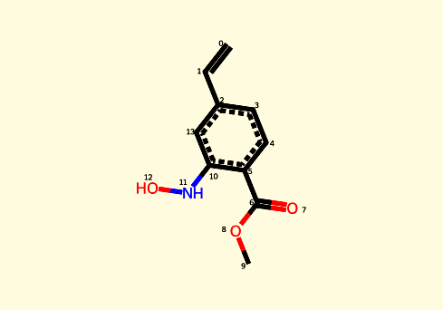 C=Cc1ccc(C(=O)OC)c(NO)c1